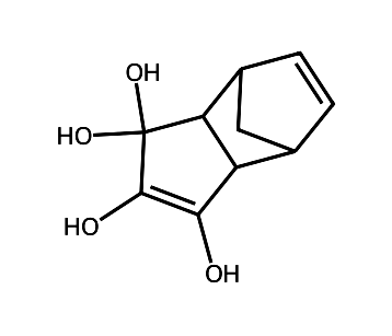 OC1=C(O)C(O)(O)C2C3C=CC(C3)C12